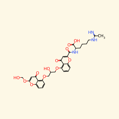 CC(=N)NCCCCC(NC(=O)c1cc(=O)c2c(OCC(O)COc3cccc4oc(OCO)cc(=O)c34)cccc2o1)C(=O)O